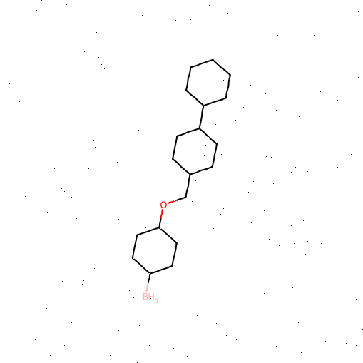 BC1CCC(OCC2CCC(C3CCCCC3)CC2)CC1